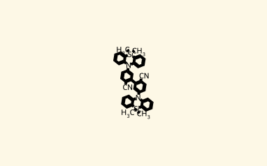 C[Si]1(C)c2ccccc2N(c2ccc(C#N)c(-c3cc(N4c5ccccc5[Si](C)(C)c5ccccc54)ccc3C#N)c2)c2ccccc21